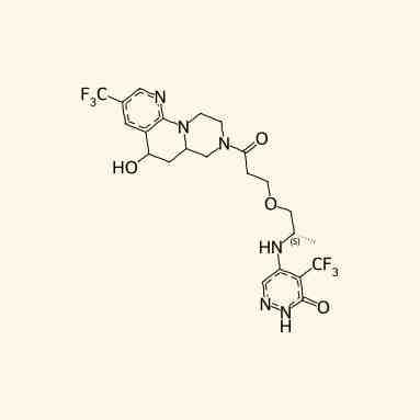 C[C@@H](COCCC(=O)N1CCN2c3ncc(C(F)(F)F)cc3C(O)CC2C1)Nc1cn[nH]c(=O)c1C(F)(F)F